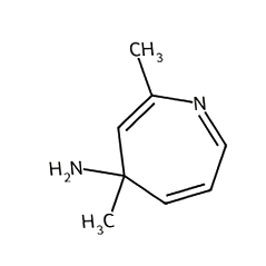 CC1=CC(C)(N)C=CC=N1